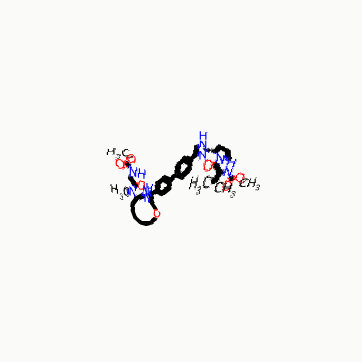 COC(=O)NCC(=O)N(C)C1CCCCCCCOCc2[nH]c1nc2-c1ccc(-c2ccc(-c3c[nH]c([C@@H]4CCCN4C(=O)[C@@H](NC(=O)OC)C(C)C)n3)cc2)cc1